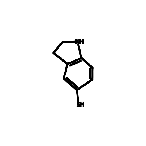 Sc1ccc2c(c1)CCN2